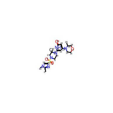 Cc1nc(S(=O)(=O)N2CCN(c3cc(N4CCOCC4C)cc(=O)[nH]3)C(C(F)(F)F)C2)cn1C